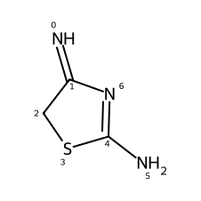 N=C1CSC(N)=N1